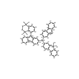 CC1(C)CCC(C)(C)c2c(-n3c4ccccc4c4ccc(N(c5ccc6c(c5)C(C)(C)c5ccccc5-6)c5ccc6c(c5)oc5ccccc56)cc43)cccc21